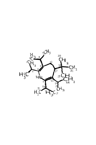 CC(C)C1=C(C(C)C)NC(C(C)C)=C(C(C)C)C(C(C)(C)C)C1